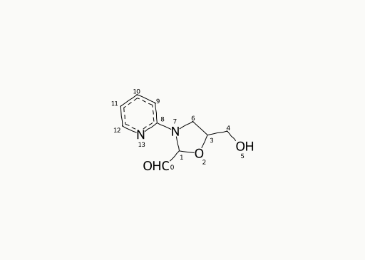 O=CC1OC(CO)CN1c1ccccn1